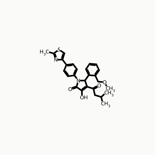 COCc1ccccc1C1C(C(=O)CC(C)C)=C(O)C(=O)N1c1ccc(-c2csc(C)n2)cc1